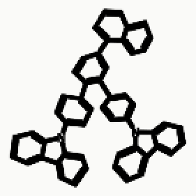 c1ccc2c(-c3ccc(-c4ccc(-n5c6ccccc6c6ccccc65)cc4)c(-c4ccc(-n5c6ccccc6c6ccccc65)cc4)c3)cccc2c1